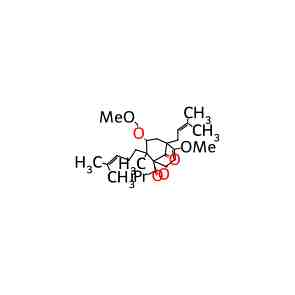 COCOC1CC2(CC=C(C)C)C(=O)C(C(=O)C(C)C)(C(=O)C=C2OC)C1(C)CCC=C(C)C